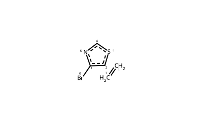 Brc1cscn1.C=C